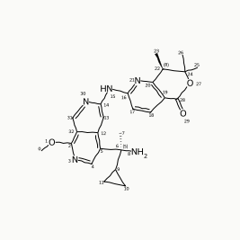 COc1ncc([C@@](C)(N)C2CC2)c2cc(Nc3ccc4c(n3)[C@@H](C)C(C)(C)OC4=O)ncc12